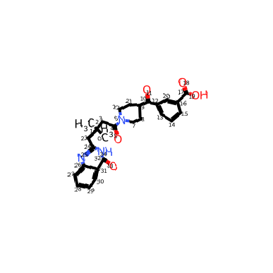 CC(C)(CC(=O)N1CCC(C(=O)c2cccc(C(=O)O)c2)CC1)Cc1nc2ccccc2c(=O)[nH]1